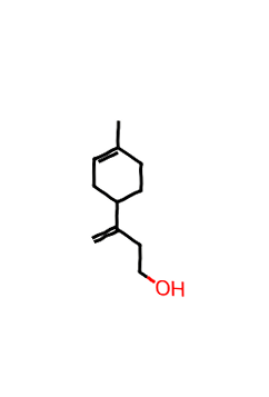 C=C(CCO)C1CC=C(C)CC1